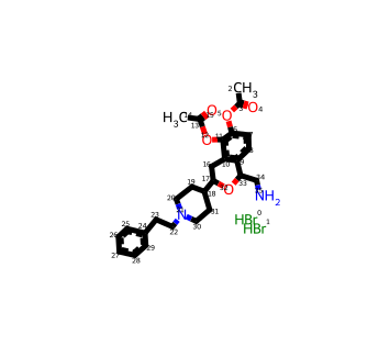 Br.Br.CC(=O)Oc1ccc2c(c1OC(C)=O)CC(C1CCN(CCc3ccccc3)CC1)OC2CN